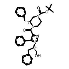 CC(C)(C)OC(=O)N1CCN(C(=O)c2ncn([C@@H](CO)Cc3ccccc3)c2-c2ccccc2)[C@H](Cc2ccccc2)C1